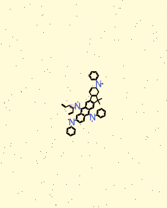 C=C/C=C(\C=C)N(C)c1c2cc(N(C)c3ccccc3)ccc2c(N(C)c2ccccc2)c2cc3c(cc12)C1=C(CC(N(C)c2ccccc2)C=C1)C3(C)C